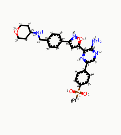 CC(C)S(=O)(=O)c1ccc(-c2cnc(N)c(-c3cc(-c4ccc(CNC5CCOCC5)cc4)no3)n2)cc1